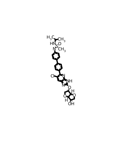 CC(C)NS(C)(=O)=Nc1ccc(-c2ccc(-c3nc4[nH]c(O[C@@H]5CO[C@H]6[C@@H]5OC[C@H]6O)nc4cc3Cl)cc2)cc1